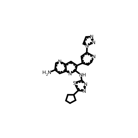 Nc1cnc2cc(-c3ccnc(-n4ccnn4)c3)c(Nc3nnc(C4CCCC4)s3)nc2c1